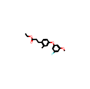 CCOC(=O)CCc1ccc(Oc2cc(F)cc(OC)c2)cc1C